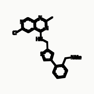 CNCc1ccccc1-c1csc(CNc2nc(C)nc3cnc(Cl)cc23)c1